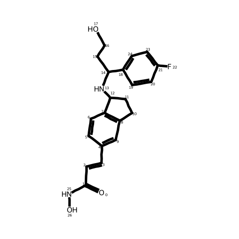 O=C(C=Cc1ccc2c(c1)CCC2NC(CCO)c1ccc(F)cc1)NO